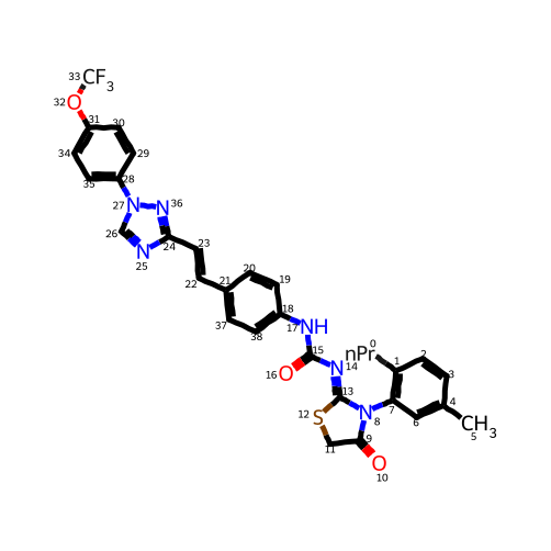 CCCc1ccc(C)cc1N1C(=O)CSC1=NC(=O)Nc1ccc(C=Cc2ncn(-c3ccc(OC(F)(F)F)cc3)n2)cc1